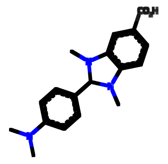 CN(C)c1ccc(C2N(C)c3ccc(C(=O)O)cc3N2C)cc1